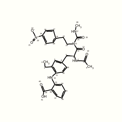 CCc1cc(C[C@H](NC(C)=O)C(=O)N(CCc2ccc([N+](=O)[O-])cc2)C(=O)NC)ccc1Nc1ccccc1C(=O)O